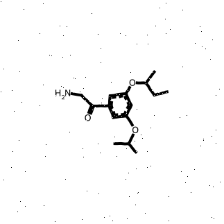 CCC(C)Oc1cc(OC(C)C)cc(C(=O)CN)c1